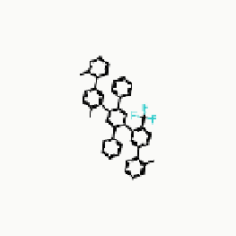 Cc1ccccc1-c1ccc(C)c(-c2cc(-c3ccccc3)c(-c3cc(-c4ccccc4C)ccc3C(F)(F)F)cc2-c2ccccc2)c1